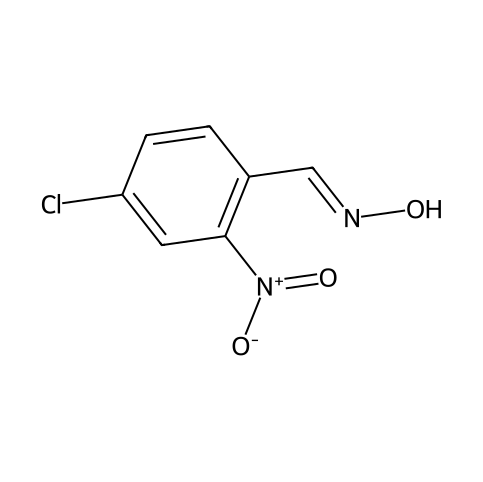 O=[N+]([O-])c1cc(Cl)ccc1C=NO